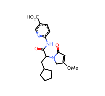 COC1=CC(=O)N(C(CC2CCCC2)C(=O)Nc2ccc(C(=O)O)cn2)C1